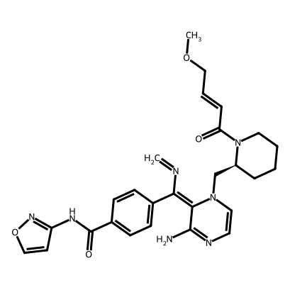 C=N/C(=C1/C(N)=NC=CN1C[C@@H]1CCCCN1C(=O)/C=C/COC)c1ccc(C(=O)Nc2ccon2)cc1